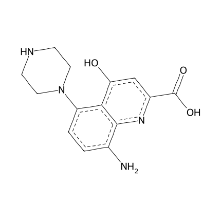 Nc1ccc(N2CCNCC2)c2c(O)cc(C(=O)O)nc12